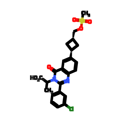 CC(C(=O)O)n1c(-c2cccc(Cl)c2)nc2ccc([C@H]3C[C@@H](COS(C)(=O)=O)C3)cc2c1=O